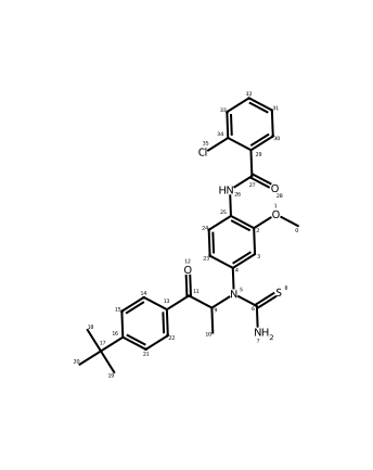 COc1cc(N(C(N)=S)C(C)C(=O)c2ccc(C(C)(C)C)cc2)ccc1NC(=O)c1ccccc1Cl